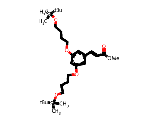 COC(=O)C=Cc1cc(OCCCCO[Si](C)(C)C(C)(C)C)cc(OCCCCO[Si](C)(C)C(C)(C)C)c1